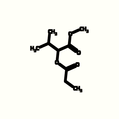 CCC(=O)OC(C(=O)OC)C(C)C